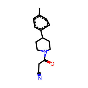 Cc1ccc(C2CCN(C(=O)CC#N)CC2)cc1